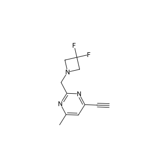 C#Cc1cc(C)nc(CN2CC(F)(F)C2)n1